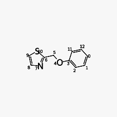 c1ccc(OCc2nccs2)cc1